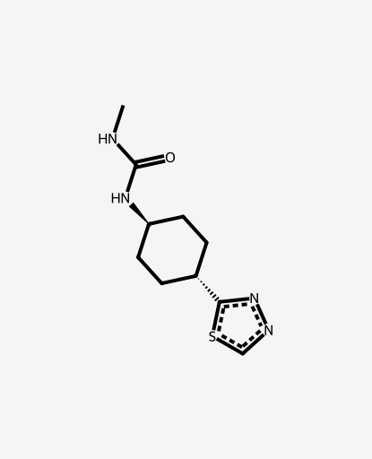 CNC(=O)N[C@H]1CC[C@H](c2nncs2)CC1